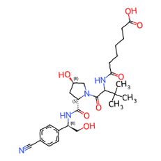 CC(C)(C)C(NC(=O)CCCCCC(=O)O)C(=O)N1C[C@H](O)C[C@H]1C(=O)N[C@@H](CO)c1ccc(C#N)cc1